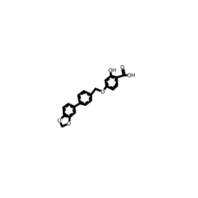 O=C(O)c1ccc(OCc2ccc(-c3ccc4c(c3)OCO4)cc2)cc1O